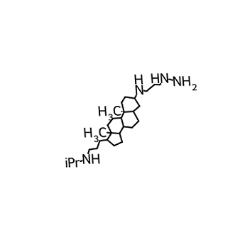 CC(C)NCCCC1CCC2C3CCC4CC(NCCCNN)CC[C@]4(C)C3CCC12C